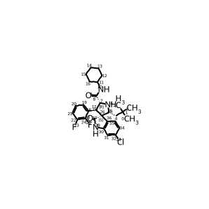 CC(C)(C)C[C@H]1N[C@@H](C(=O)NC2CCCCC2)[C@H](c2cccc(F)c2F)[C@@]12C(=O)Nc1cc(Cl)ccc12